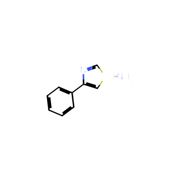 N[SH]1C=NC(c2ccccc2)=C1